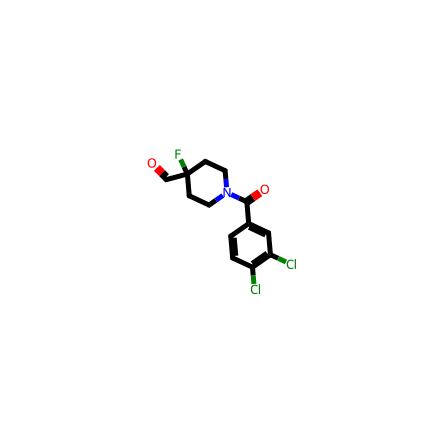 O=CC1(F)CCN(C(=O)c2ccc(Cl)c(Cl)c2)CC1